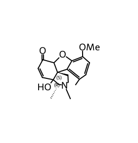 COc1ccc(C)c2c1OC1C(=O)C=CC3(O)[C@@H](C)N(C)CC[C@]213